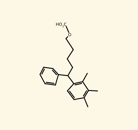 Cc1ccc(C(CCCCOC(=O)O)c2ccccc2)c(C)c1C